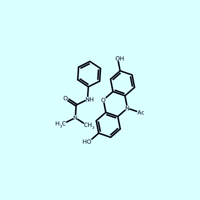 CC(=O)N1c2ccc(O)cc2Oc2cc(O)ccc21.CN(C)C(=O)Nc1ccccc1